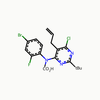 C=CCc1c(Cl)nc(C(C)(C)C)nc1N(C(=O)O)c1ccc(Br)cc1F